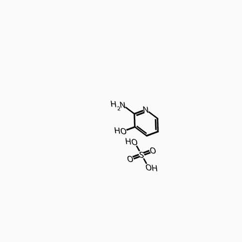 Nc1ncccc1O.O=S(=O)(O)O